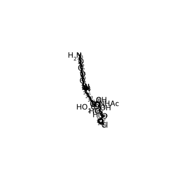 CC(=O)N[C@H]1[C@H]([C@H](O)[C@H](O)CNC(=O)c2cccc(Cl)c2)O[C@@](OCCCCCCc2cn(CCOCCOCCOCCOCCN)nn2)(C(=O)O)C[C@@H]1O